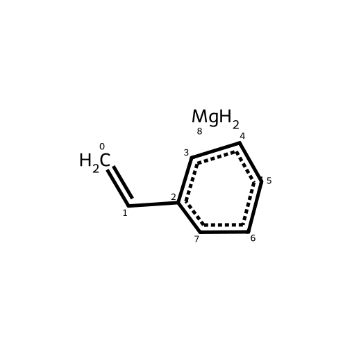 C=Cc1cc[c]cc1.[MgH2]